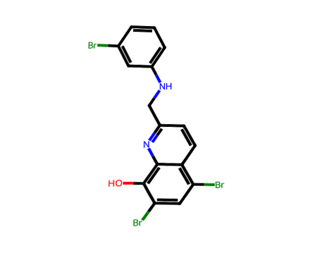 Oc1c(Br)cc(Br)c2ccc(CNc3cccc(Br)c3)nc12